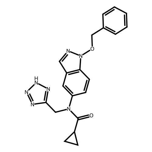 O=C(C1CC1)N(Cc1nn[nH]n1)c1ccc2c(cnn2OCc2ccccc2)c1